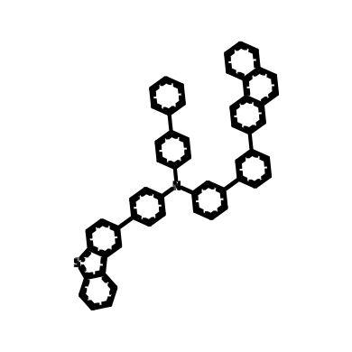 c1ccc(-c2ccc(N(c3ccc(-c4ccc5sc6ccccc6c5c4)cc3)c3cccc(-c4cccc(-c5ccc6c(ccc7ccccc76)c5)c4)c3)cc2)cc1